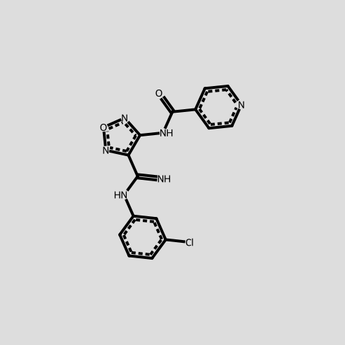 N=C(Nc1cccc(Cl)c1)c1nonc1NC(=O)c1ccncc1